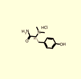 CN(C)[C@H](Cc1ccc(O)cc1)C(N)=O.Cl